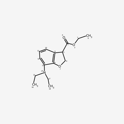 CCOC(=O)C1COc2c1cccc2N(CC)CC